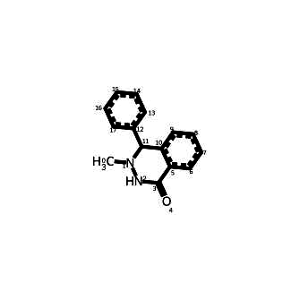 CN1NC(=O)c2ccccc2C1c1ccccc1